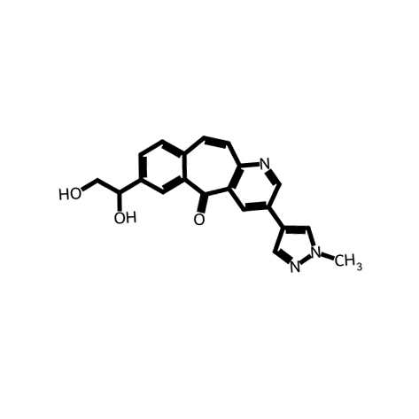 Cn1cc(-c2cnc3ccc4ccc(C(O)CO)cc4c(=O)c3c2)cn1